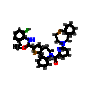 Cc1cccc(F)c1NC(=O)c1cc2c(s1)-c1ccccc1N(C(=O)c1cccc(N3CCSc4ccccc4C3)n1)CC2